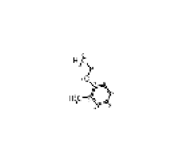 CCOc1[c]ccnc1C